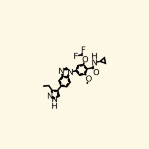 CCc1n[nH]cc1-c1ccc2c(c1)ncn2-c1cc(OC)c(C(=O)NC2CC2)c(OC(F)F)c1